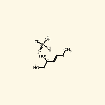 CCC=CC(O)CO.O=P(O)(Cl)Cl